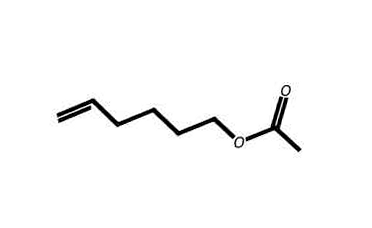 C=CCCCCOC(C)=O